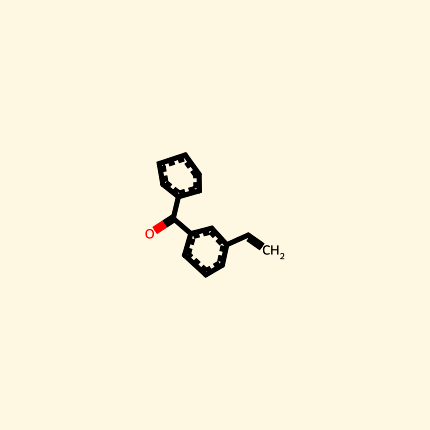 C=Cc1cccc(C(=O)c2ccccc2)c1